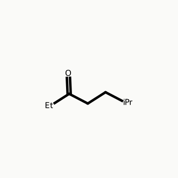 CCC(=O)CCC(C)C